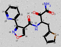 NC(=O)C(=O)C(Cc1cccs1)NC(=O)c1conc1-c1ccccn1